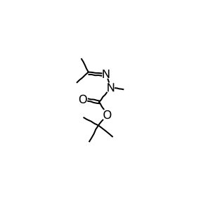 CC(C)=NN(C)C(=O)OC(C)(C)C